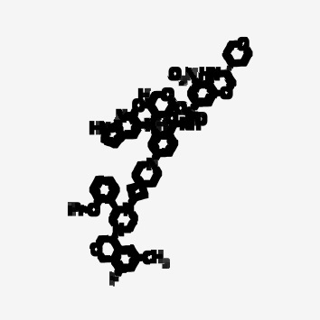 Cc1cc(F)c2c(c1)[C@H](N1CCN(C3CC4(CCN(c5ccc(C(=O)NS(=O)(=O)c6cc7c(c([N+](=O)[O-])c6)N[C@H](C6CCOCC6)CO7)c(N6c7cc8cc[nH]c8nc7O[C@H]7COCC[C@@H]76)c5)CC4)C3)[C@H](c3ccccc3OC(C)C)C1)COC2